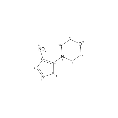 O=[N+]([O-])c1cnsc1N1CCOCC1